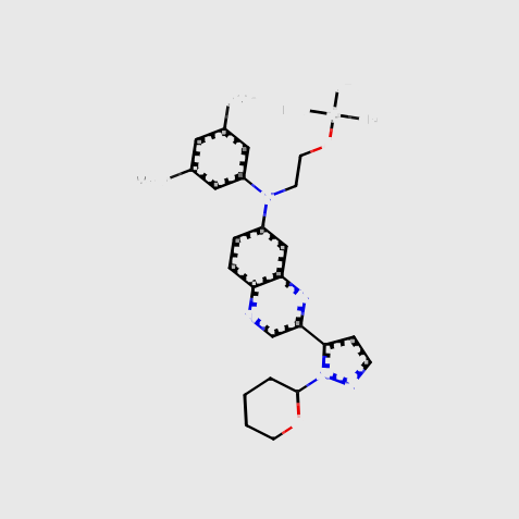 COc1cc(OC)cc(N(CCO[Si](C)(C)C(C)(C)C)c2ccc3ncc(-c4ccnn4C4CCCCO4)nc3c2)c1